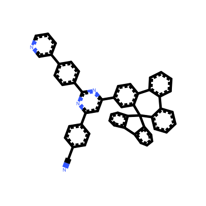 N#Cc1ccc(-c2cc(-c3ccc4c(c3)C3(c5ccccc5-c5ccccc5-4)c4ccccc4-c4ccccc43)nc(-c3ccc(-c4cccnc4)cc3)n2)cc1